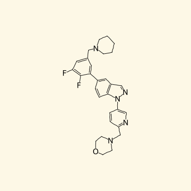 Fc1cc(CN2CCCCC2)cc(-c2ccc3c(cnn3-c3ccc(CN4CCOCC4)nc3)c2)c1F